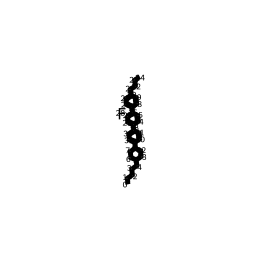 CCCCCC1CCC(c2ccc(-c3ccc(-c4ccc(CCCC)cc4)c(F)c3)cc2)CC1